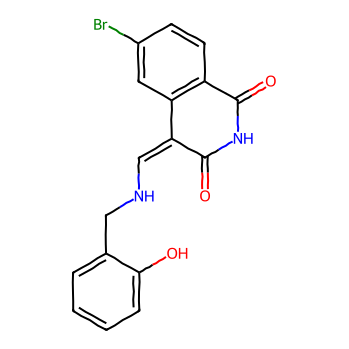 O=C1NC(=O)c2ccc(Br)cc2C1=CNCc1ccccc1O